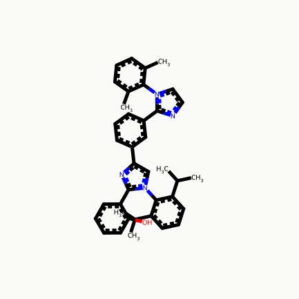 Cc1cccc(C)c1-n1ccnc1-c1cccc(-c2cn(-c3c(C(C)C)cccc3C(C)C)c(-c3ccccc3O)n2)c1